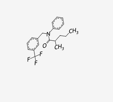 CCCC(C)C(=O)N(Cc1cccc(C(F)(F)F)c1)c1ccccc1